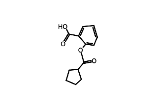 O=C(O)c1ccccc1OC(=O)C1CCCC1